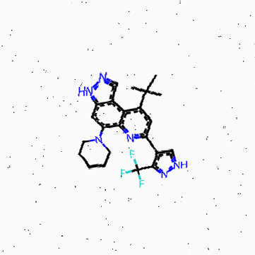 CC(C)(C)c1cc(-c2c[nH]nc2C(F)(F)F)nc2c(N3CCCCC3)cc3[nH]ncc3c12